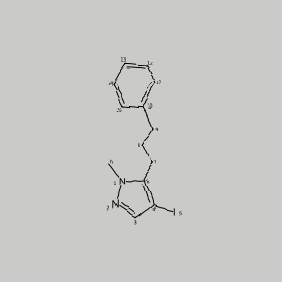 Cn1ncc(I)c1CCCc1ccccc1